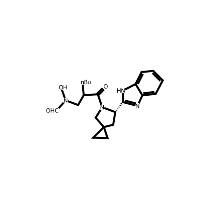 CCCCC(CN(O)C=O)C(=O)N1CC2(CC2)C[C@H]1c1nc2ccccc2[nH]1